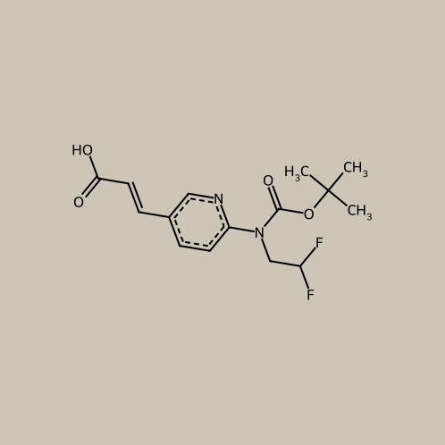 CC(C)(C)OC(=O)N(CC(F)F)c1ccc(/C=C/C(=O)O)cn1